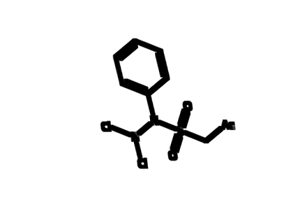 CC(=O)CS(=O)(=O)N(c1ccccc1)N(Cl)Cl